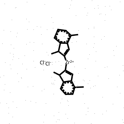 Cc1cccc2c1C=[C]([Zr+2][C]1=Cc3c(C)cccc3C1C)C2C.[Cl-].[Cl-]